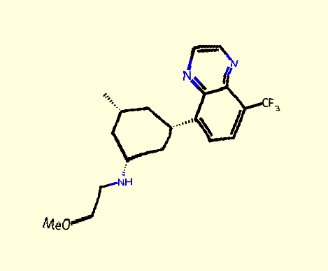 COCCN[C@@H]1C[C@H](C)C[C@H](c2ccc(C(F)(F)F)c3nccnc23)C1